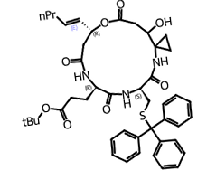 CCC/C=C/[C@H]1CC(=O)N[C@H](CCC(=O)OC(C)(C)C)C(=O)N[C@H](CSC(c2ccccc2)(c2ccccc2)c2ccccc2)C(=O)NC2(CC2)C(O)CC(=O)O1